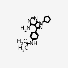 C=C(C)Nc1ccc(-c2nn(C3CCCC3)c3ncnc(N)c23)cc1